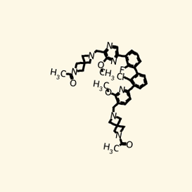 COc1nc(-c2cccc(-c3cccc(-c4cnc(CN5CC6(C5)CN(C(C)=O)C6)c(OC)n4)c3F)c2Cl)ccc1CN1CC2(C1)CN(C(C)=O)C2